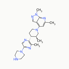 Cc1cc(N2CC[C@@H](c3ncc(N4CCNCC4)nc3C)[C@H](C)C2)c2cnn(C)c2n1